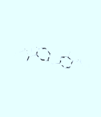 C=Nc1ccc(Cc2ccnc(C(=O)NC)c2)cc1C